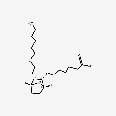 CCCCCCOCC[C@@H]1[C@H](CSCCCCC(=O)O)[C@@H]2CC[C@H]1O2